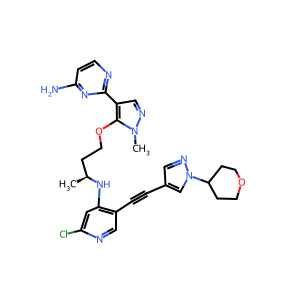 C[C@@H](CCOc1c(-c2nccc(N)n2)cnn1C)Nc1cc(Cl)ncc1C#Cc1cnn(C2CCOCC2)c1